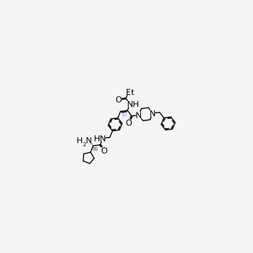 CCC(=O)N/C(=C/c1ccc(CNC(=O)[C@@H](N)C2CCCC2)cc1)C(=O)N1CCN(Cc2ccccc2)CC1